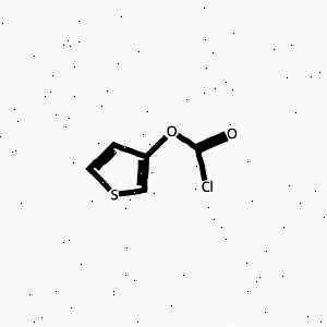 O=C(Cl)Oc1ccsc1